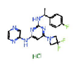 C[C@H](Nc1nc(Nc2cnccn2)cc(N2CC(F)(F)C2)n1)c1ccc(F)cc1.Cl